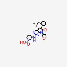 Cc1ccccc1-c1cc2cnc(N[C@H]3CCCN(C(=O)O)C3)nc2n([C@@H]2CCOC2)c1=O